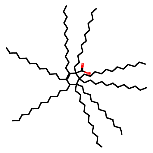 CCCCCCCCCCCCC1=C(CCCCCCCCCCCC)C(CCCCCCCCCCCC)(C(=O)O)C(CCCCCCCCCCCC)(CCCCCCCCCCCC)C(CCCCCCCCCCCC)(CCCCCCCCCCCC)C1CCCCCCCCCCCC